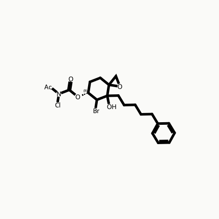 CC(=O)N(Cl)C(=O)O[C@@H]1CCC2(CO2)C(O)(CCCCCc2ccccc2)C1Br